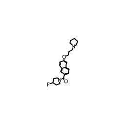 O=C(c1ccc2cc(OCCCN3CCCCC3)ccc2c1)N1CCC(F)CC1